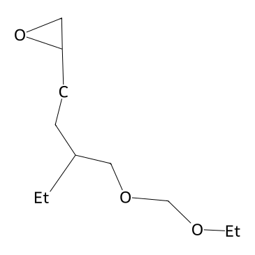 CCOCOCC(CC)CCC1CO1